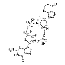 Nc1nc2c(ncn2[C@@H]2S[C@@H]3CO[P@@](=O)(S)O[C@H]4[C@H](F)[C@H](n5cnc6c5N=CCC6=O)O[C@@H]4CO[P@@](=O)(S)O[C@@H]2[C@@H]3F)c(=O)[nH]1